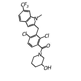 Cn1c(Cc2c(Cl)ccc(C(=O)N3CCCC(O)C3)c2Cl)cc2ccc(C(F)(F)F)cc21